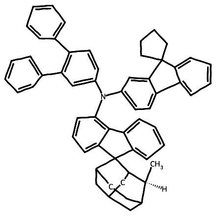 C[C@H]1C2CCC3CC(C2)CC1C31c2ccccc2-c2c(N(c3ccc(-c4ccccc4)c(-c4ccccc4)c3)c3ccc4c(c3)C3(CCCC3)c3ccccc3-4)cccc21